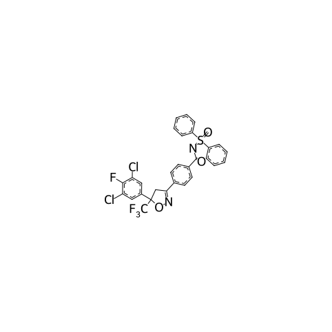 O=C(N=S(=O)(c1ccccc1)c1ccccc1)c1ccc(C2=NOC(c3cc(Cl)c(F)c(Cl)c3)(C(F)(F)F)C2)cc1